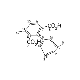 Cc1cncc(-c2c(C(=O)O)ccc(C)c2C(=O)O)c1